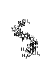 CCCN(Cc1ncc(-c2ccc3c(c2)cc2n3COc3cc(-c4cnc([C@@H]5CCCN5C(=O)CNC(=O)OC)[nH]4)cc(F)c3-2)[nH]1)C(=O)C(NC(=O)OC)C(C)C